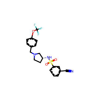 N#Cc1cccc(S(=O)(=O)N[C@@H]2CCN(Cc3ccc(OC(F)(F)F)cc3)C2)c1